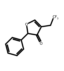 O=C1C(CC(F)(F)F)=COC1c1ccccc1